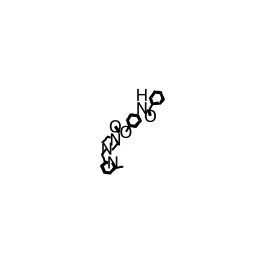 Cc1cccc(CN2CCN(C(=O)Oc3ccc(NC(=O)c4ccccc4)cc3)CC2)n1